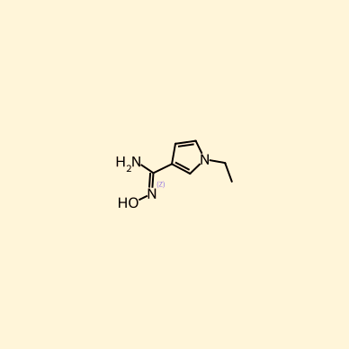 CCn1ccc(/C(N)=N/O)c1